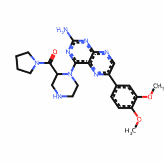 COc1ccc(-c2cnc3nc(N)nc(N4CCNCC4C(=O)N4CCCC4)c3n2)cc1OC